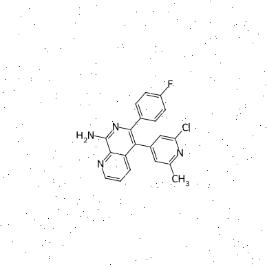 Cc1cc(-c2c(-c3ccc(F)cc3)nc(N)c3ncccc23)cc(Cl)n1